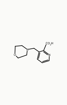 O=C(O)c1ncccc1CN1CCOCC1